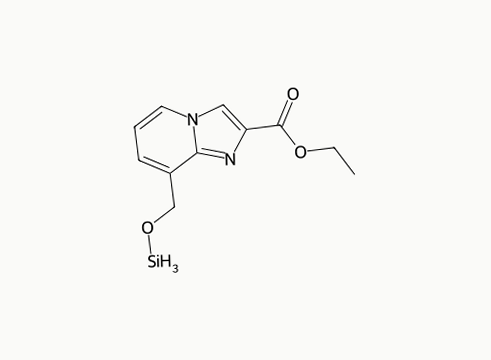 CCOC(=O)c1cn2cccc(CO[SiH3])c2n1